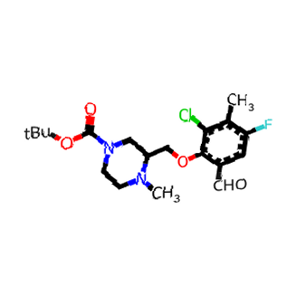 Cc1c(F)cc(C=O)c(OCC2CN(C(=O)OC(C)(C)C)CCN2C)c1Cl